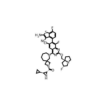 N#Cc1c(N)sc2c(F)ccc(-c3c(Cl)cc4c(N5CCCCC6(CN(C(=O)[C@@H]7N[C@H]7C7CC7)C6)C5)nc(OC[C@@]56CCCN5C[C@H](F)C6)nc4c3F)c12